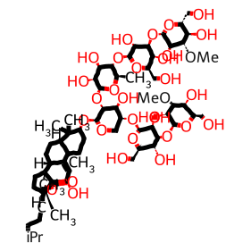 CO[C@@H]1[C@@H](O)[C@H](O[C@@H]2[C@@H](O)[C@H](O[C@H]3[C@H](O)[C@@H](O)[C@H](O[C@H]4[C@H](O[C@H]5CC[C@]6(C)C7=C[C@H](O)[C@]89C(=O)O[C@@](C)(CCCC(C)C)[C@H]8CC[C@@]9(C)[C@@H]7CC[C@H]6C5(C)C)OC[C@@H](O[C@@H]5O[C@H](CO)[C@@H](O)[C@H](O[C@@H]6O[C@H](CO)[C@@H](O)[C@H](OC)[C@H]6O)[C@H]5O)[C@@H]4O)O[C@@H]3C)O[C@H](CO)[C@H]2O)O[C@H](CO)[C@H]1O